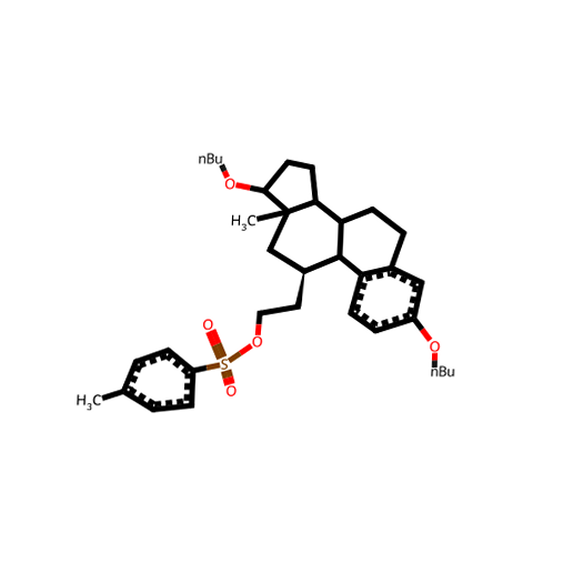 CCCCOc1ccc2c(c1)CCC1C2[C@@H](CCOS(=O)(=O)c2ccc(C)cc2)CC2(C)C(OCCCC)CCC12